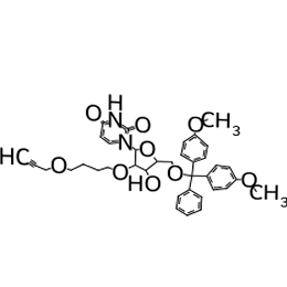 C#CCOCCCCOC1C(O)C(COC(c2ccccc2)(c2ccc(OC)cc2)c2ccc(OC)cc2)OC1n1ccc(=O)[nH]c1=O